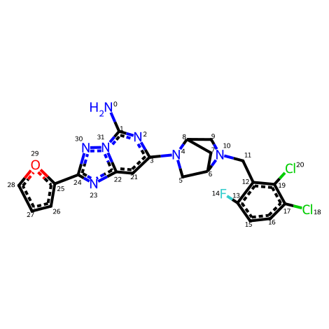 Nc1nc(N2CC3CC2CN3Cc2c(F)ccc(Cl)c2Cl)cc2nc(-c3ccco3)nn12